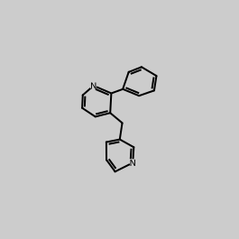 c1ccc(-c2ncccc2Cc2cccnc2)cc1